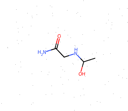 CC(O)NCC(N)=O